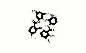 Nc1cc(N)cc(NC(=O)c2ccc(N)cc2N)c1.Nc1cccc(NC(=O)c2cccc(N)c2N)c1N